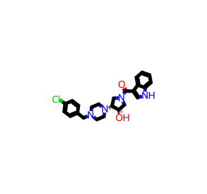 O=C(c1c[nH]c2ccccc12)N1C[C@@H](O)[C@H](N2CCN(Cc3ccc(Cl)cc3)CC2)C1